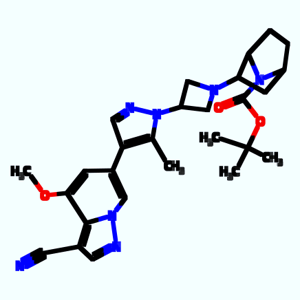 COc1cc(-c2cnn(C3CN(C4CC5CCC4N5C(=O)OC(C)(C)C)C3)c2C)cn2ncc(C#N)c12